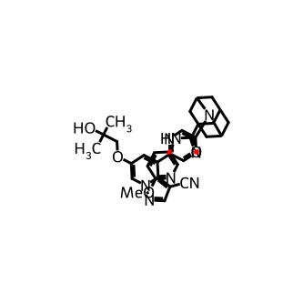 COc1ccc(NC(=O)C23CC4CC(C2)N(c2cnc(-c5cc(OCC(C)(C)O)cn6ncc(C#N)c56)cn2)C(C4)C3)cn1